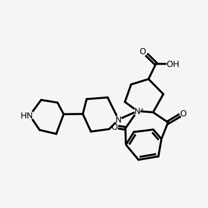 O=C(O)C1CC[N+]2(N3CCC(C4CCNCC4)CC3)C(=O)c3ccc(cc3)C(=O)C2C1